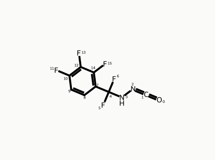 O=C=NNC(F)(F)c1ccc(F)c(F)c1F